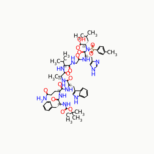 Cc1ccc(S(=O)(=O)N(C(=O)[C@H](Cc2c[nH]cn2)NC(=O)CNC(=O)[C@@H](NC(=O)[C@H](C)NC(=O)[C@H](Cc2c[nH]c3ccccc23)NC(=O)[C@H](CCC(N)=O)NC(=O)[C@@H](Cc2ccccc2)NC(=O)OC(C)(C)C)C(C)C)[C@@H](CC(C)C)C(=O)O)cc1